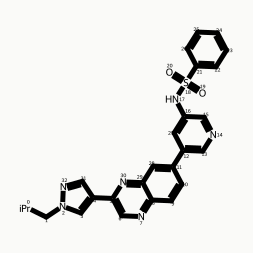 CC(C)Cn1cc(-c2cnc3ccc(-c4cncc(NS(=O)(=O)c5ccccc5)c4)cc3n2)cn1